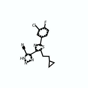 N#Cc1[nH]nnc1-c1nc(-c2ccc(F)c(Cl)c2)sc1CCC1CC1